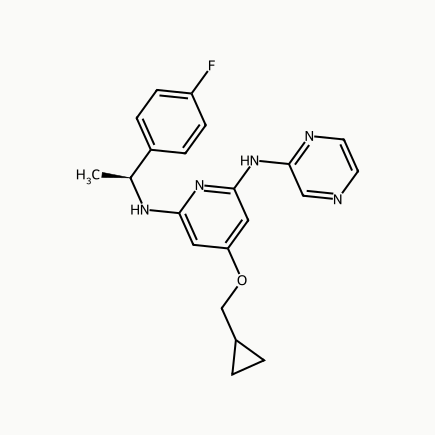 C[C@H](Nc1cc(OCC2CC2)cc(Nc2cnccn2)n1)c1ccc(F)cc1